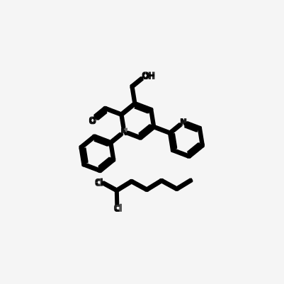 CCCCCC(Cl)Cl.O=CC1C(CO)=CC(c2ccccn2)=CN1c1ccccc1